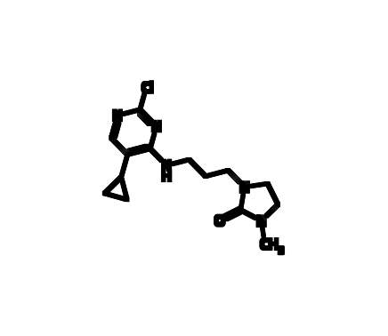 CN1CCN(CCCNc2nc(Cl)ncc2C2CC2)C1=O